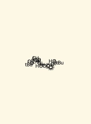 CC(C)(C)OC(=O)CC(C)(C)OCC(=O)OCC(O)COc1ccc2c(OCC(O)C(C)(C)C)cccc2c1